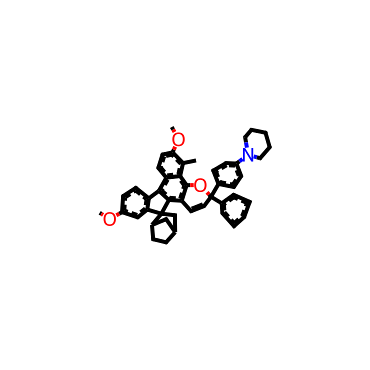 COc1ccc2c(c1)C1(CC3CCC1C3)c1c3c(c4c(C)c(OC)ccc4c1-2)OC(c1ccccc1)(c1ccc(N2CCCCC2)cc1)C=C3